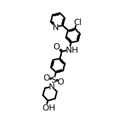 O=C(Nc1ccc(Cl)c(-c2ccccn2)c1)c1ccc(S(=O)(=O)N2CCC(O)CC2)cc1